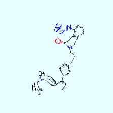 CN(C)CCC1(c2ccc(CCN3Cc4cccc(N)c4C3=O)cc2)CC1